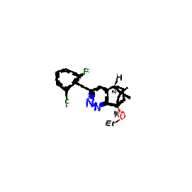 CCO[C@@]12CC[C@@H](c3cc(-c4c(F)cccc4F)nnc31)C2(C)C